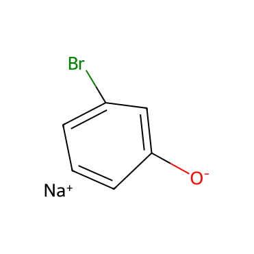 [Na+].[O-]c1cccc(Br)c1